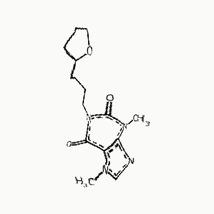 Cn1cnc2c1c(=O)n(CCCC1CCCO1)c(=O)n2C